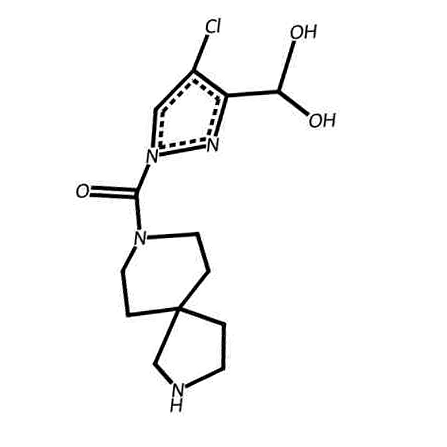 O=C(N1CCC2(CCNC2)CC1)n1cc(Cl)c(C(O)O)n1